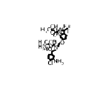 CC(C)(C)OC(=O)N(CCOc1ccc2c(C(F)(F)F)nn(C(=O)OC(C)(C)C)c2c1)CC(O)c1ccc(Cl)c(N)c1